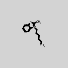 CCCCCC[n+]1c(C)oc2ccccc21